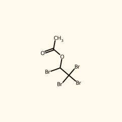 CC(=O)OC(Br)C(Br)(Br)Br